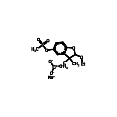 CCOC1Oc2ccc(OS(C)(=O)=O)cc2C1(C)C.[Na+].[O-][Cl+2]([O-])[O-]